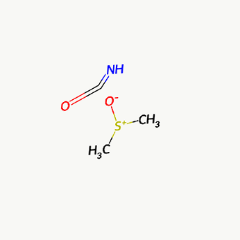 C[S+](C)[O-].N=C=O